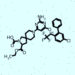 CCOC(=O)C1CC2(CCN(c3cc(O[C@H](c4ccc(Cl)cc4-c4ccccc4)C(F)(F)F)nc(N)n3)CC2)CN1C(=O)O